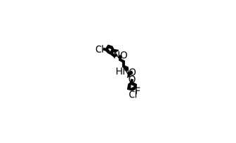 O=C(COc1ccc(Cl)c(F)c1)NCCCCC(=O)N1Cc2ccc(Cl)cc2C1